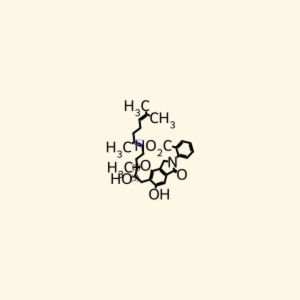 CC(C)=CCC/C(C)=C/CC[C@]1(C)Oc2c(c(O)cc3c2CN(c2ccccc2C(=O)O)C3=O)C[C@@H]1O